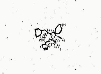 CS(=O)(=O)N=C(NC(CC1CCCCC1)C(=O)NC1(CC#N)CCNCC1)c1cnccn1